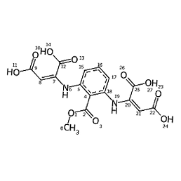 COC(=O)c1c(NC(=CC(=O)O)C(=O)O)cccc1NC(=CC(=O)O)C(=O)O